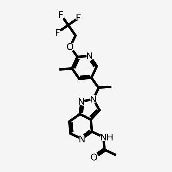 CC(=O)Nc1nccc2nn(C(C)c3cnc(OCC(F)(F)F)c(C)c3)cc12